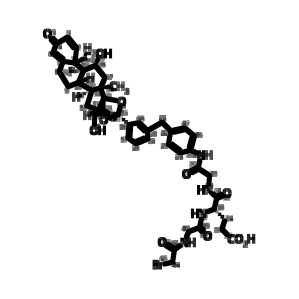 C[C@]12C=CC(=O)C=C1CC[C@H]1[C@@H]3C[C@H]4O[C@@H](c5cccc(Cc6ccc(NC(=O)CNC(=O)[C@H](CCC(=O)O)NC(=O)CNC(=O)CBr)cc6)c5)O[C@@]4(C(=O)CO)[C@@]3(C)C[C@H](O)[C@@]12F